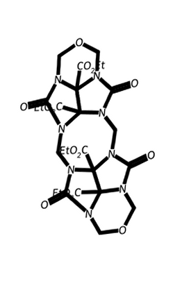 CCOC(=O)C12N3COCN1C(=O)N1CN4C(=O)N5COCN6C(=O)N(CN(C3=O)C12C(=O)OCC)C4(C(=O)OCC)C65C(=O)OCC